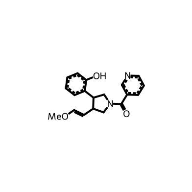 COC=CC1CN(C(=O)c2cccnc2)CC1c1ccccc1O